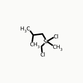 CC(C)C[Si](C)(Cl)CCl